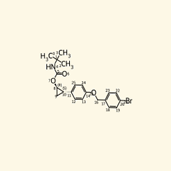 CC(C)(C)NC(=O)O[C@@H]1C[C@H]1c1ccc(OCc2ccc(Br)cc2)cc1